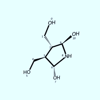 OC[C@H]1[C@H](CO)[C@@H](O)N[C@@H]1O